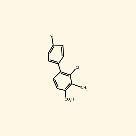 Nc1c(C(=O)O)ccc(-c2ccc(Cl)cc2)c1Cl